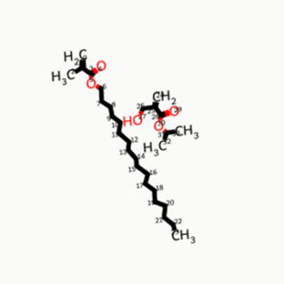 C=C(C)C(=O)OCCCCCCCCCCCCCCCCCC.C=C(CO)C(=O)OC(C)C